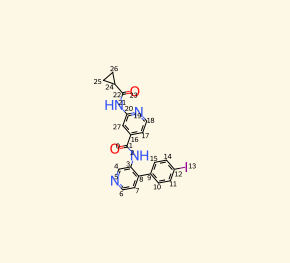 O=C(Nc1cnccc1-c1ccc(I)cc1)c1ccnc(NC(=O)C2CC2)c1